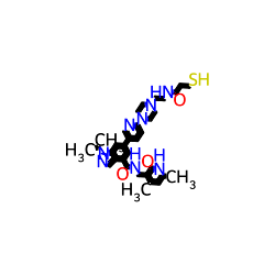 Cc1cc(C)c(CNC(=O)c2cc(-c3ccc(N4CCN(CCNC(=O)CCS)CC4)nc3)cc3c2cnn3C(C)C)c(=O)[nH]1